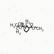 CCOC(=O)C1CCCN(C(=O)OC(C)(C)C)[C@H]1C